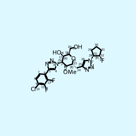 CO[C@@H]1[C@@H](n2cc(-c3ccc(Cl)c(F)c3F)nn2)[C@@H](O)[C@@H](CO)O[C@@H]1Cc1cn([C@H]2CCC[C@H]2F)nn1